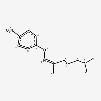 CC(CCCN(C)C)=NOc1ccc([N+](=O)[O-])cc1